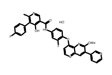 COc1nc2c(Oc3ccc(NC(=O)c4cnc(C)c(-c5ccc(F)cc5)c4O)cc3F)ccnc2cc1-c1cccnc1.Cl